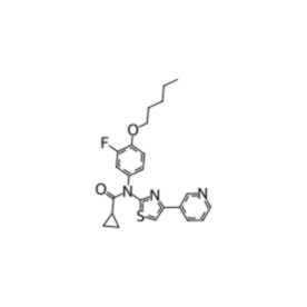 CCCCCOc1ccc(N(C(=O)C2CC2)c2nc(-c3cccnc3)cs2)cc1F